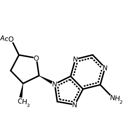 CC(=O)OC1C[C@H](C)[C@H](n2cnc3c(N)ncnc32)O1